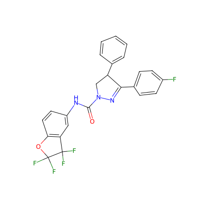 O=C(Nc1ccc2c(c1)C(F)(F)C(F)(F)O2)N1CC(c2ccccc2)C(c2ccc(F)cc2)=N1